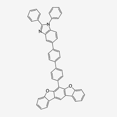 c1ccc(-c2nc3cc(-c4ccc(-c5ccc(-c6c7oc8ccccc8c7cc7c6oc6ccccc67)cc5)cc4)ccc3n2-c2ccccc2)cc1